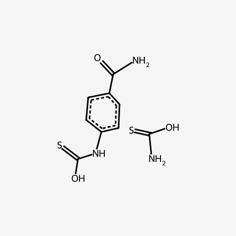 NC(=O)c1ccc(NC(O)=S)cc1.NC(O)=S